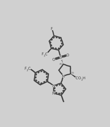 Cc1cc(N2C[C@H](S(=O)(=O)c3ccc(F)cc3C(F)(F)F)C[C@H]2C(=O)O)n(-c2ccc(C(F)(F)F)cc2)n1